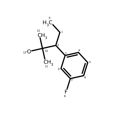 CCC(c1cccc(F)c1)C(C)(C)[O]